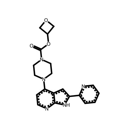 O=C(OC1COC1)N1CCN(c2ccnc3[nH]c(-c4ccccn4)cc23)CC1